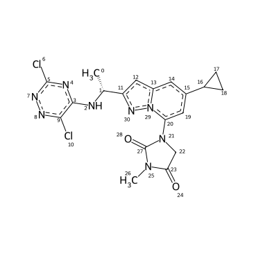 C[C@@H](Nc1nc(Cl)nnc1Cl)c1cc2cc(C3CC3)cc(N3CC(=O)N(C)C3=O)n2n1